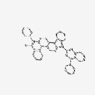 O=c1c2ccccc2c2c3ccc4c(c3ccc2n1-c1ccccc1)c1ccccc1n4-c1nc(-c2ccccc2)c2ccccc2n1